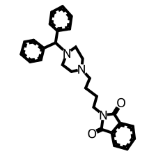 O=C1c2ccccc2C(=O)N1CCCCN1CCN(C(c2ccccc2)c2ccccc2)CC1